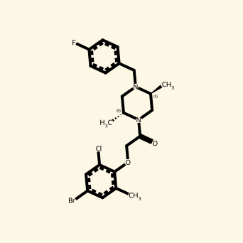 Cc1cc(Br)cc(Cl)c1OCC(=O)N1C[C@H](C)N(Cc2ccc(F)cc2)C[C@H]1C